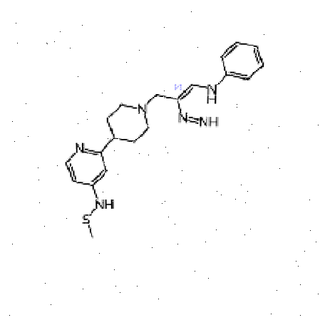 CSNc1ccnc(C2CCN(C/C(=C/Nc3ccccc3)N=N)CC2)c1